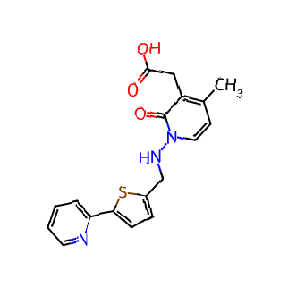 Cc1ccn(NCc2ccc(-c3ccccn3)s2)c(=O)c1CC(=O)O